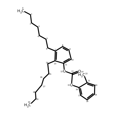 CCCCCCCc1cccc(OC(=O)Oc2ccccc2C)c1CCCCCCC